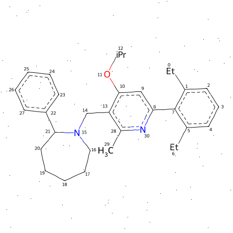 CCc1cccc(CC)c1-c1cc(OC(C)C)c(CN2CCCCCC2c2ccccc2)c(C)n1